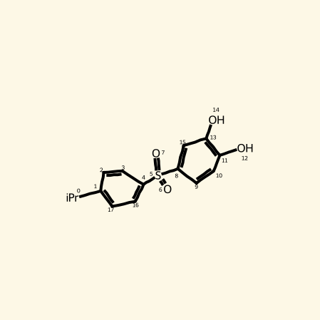 CC(C)c1ccc(S(=O)(=O)c2ccc(O)c(O)c2)cc1